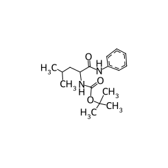 CC(C)CC(NC(=O)OC(C)(C)C)C(=O)Nc1ccccc1